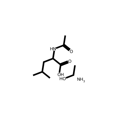 CC(=O)NC(CC(C)C)C(=O)O.CCO.N